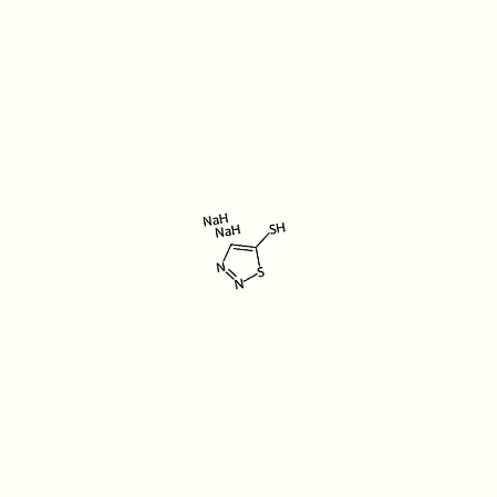 Sc1cnns1.[NaH].[NaH]